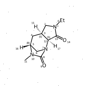 CCN1C[C@@H]2C[C@@H]3CN(C(=O)N3C)[C@@H]2C1=O